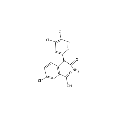 NC(=O)N(c1ccc(Cl)c(Cl)c1)c1ccc(Cl)cc1C(=O)O